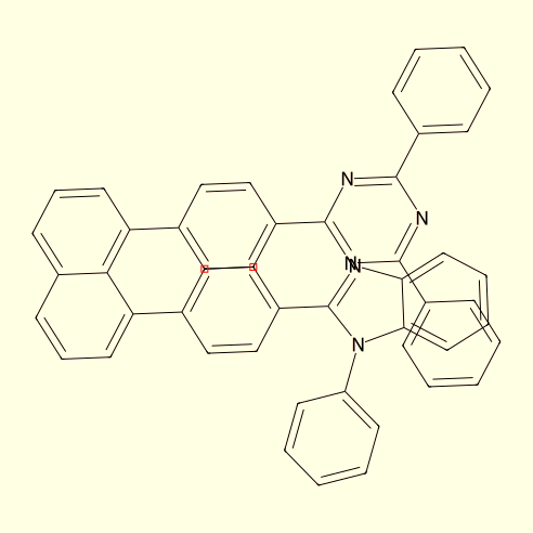 c1ccc(-c2nc(-c3ccccc3)nc(-c3ccc(-c4cccc5cccc(-c6ccc(-c7nc8ccccc8n7-c7ccccc7)cc6)c45)cc3)n2)cc1